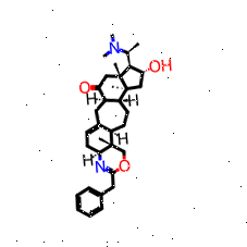 C[C@@H]([C@H]1[C@H](O)C[C@@]2(C)[C@@H]3CC[C@@H]4C(=CC[C@@H]5N=C(Cc6ccccc6)OC[C@]54C)C[C@H]3C(=O)C[C@]12C)N(C)C